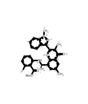 COC(=O)c1c(F)cccc1N[C@H](C)c1cc(C)cc2c(=O)c(C)c(-c3nn(C)c4ccccc34)oc12